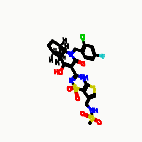 CS(=O)(=O)NCc1csc2c1S(=O)(=O)N=C(C1=C(O)[C@@H]3[C@H]4CC[C@H](C4)[C@@H]3N(Cc3ccc(F)cc3Cl)C1=O)N2